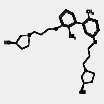 Cc1ccc(OCCCN2CC[C@@H](O)C2)cc1-c1cccc(OCCCN2CC[C@@H](O)C2)c1C